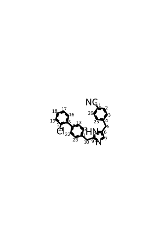 N#Cc1ccc(Cc2cnc(Cc3ccc(-c4ccccc4Cl)cc3)[nH]2)cc1